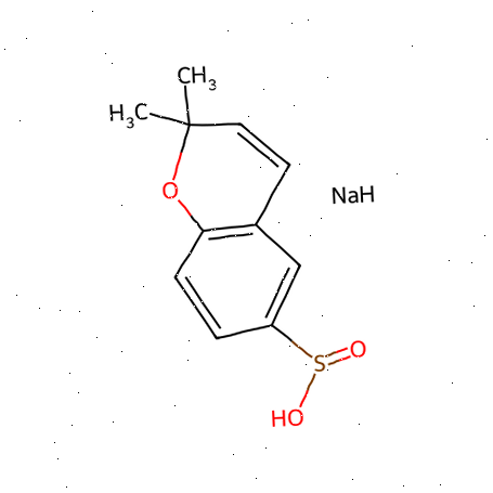 CC1(C)C=Cc2cc(S(=O)O)ccc2O1.[NaH]